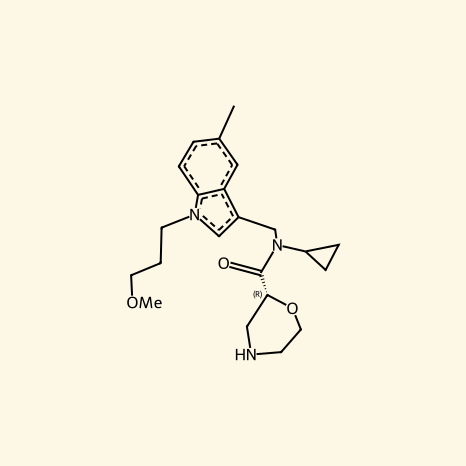 COCCCn1cc(CN(C(=O)[C@H]2CNCCO2)C2CC2)c2cc(C)ccc21